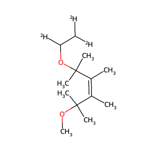 [2H]C([2H])C([2H])OC(C)(C)/C(C)=C(/C)C(C)(C)OC